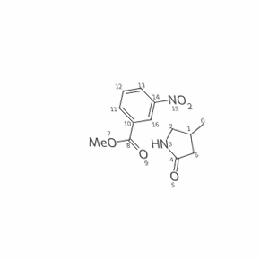 CC1CNC(=O)C1.COC(=O)c1cccc([N+](=O)[O-])c1